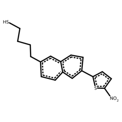 O=[N+]([O-])c1ccc(-c2ccc3cc(CCCCS)ccc3c2)s1